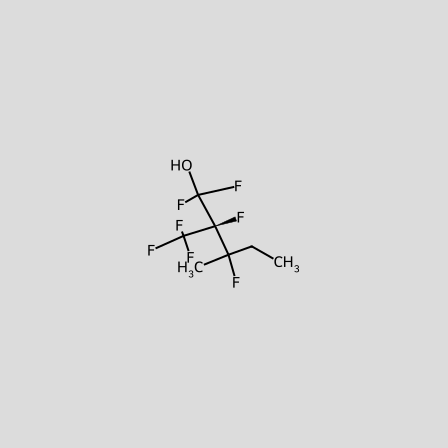 CCC(C)(F)[C@@](F)(C(O)(F)F)C(F)(F)F